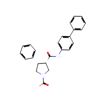 O=C(Nc1ccc(-c2ccccc2)cc1)[C@H]1CN(C(=O)O)C[C@@H]1c1ccccc1